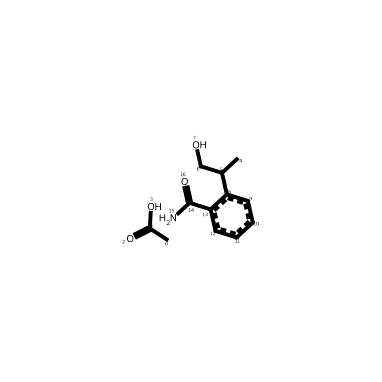 CC(=O)O.CC(CO)c1ccccc1C(N)=O